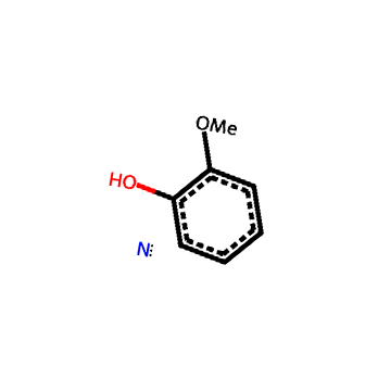 COc1ccccc1O.[N]